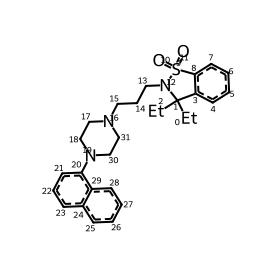 CCC1(CC)c2ccccc2S(=O)(=O)N1CCCN1CCN(c2cccc3ccccc23)CC1